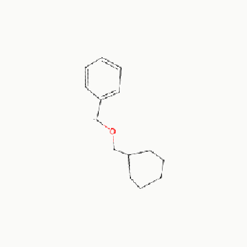 [CH](OCC1CCCCC1)c1ccccc1